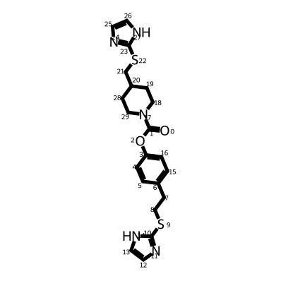 O=C(Oc1ccc(CCSc2ncc[nH]2)cc1)N1CCC(CSc2ncc[nH]2)CC1